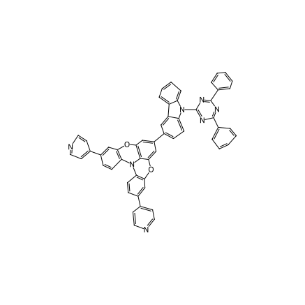 c1ccc(-c2nc(-c3ccccc3)nc(-n3c4ccccc4c4cc(-c5cc6c7c(c5)Oc5cc(-c8ccncc8)ccc5N7c5ccc(-c7ccncc7)cc5O6)ccc43)n2)cc1